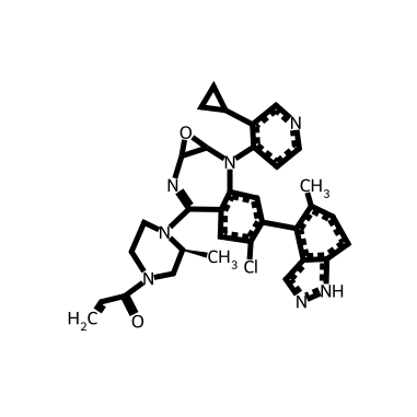 C=CC(=O)N1CCN(C2=NC3OC3N(c3ccncc3C3CC3)c3cc(-c4c(C)ccc5[nH]ncc45)c(Cl)cc32)[C@@H](C)C1